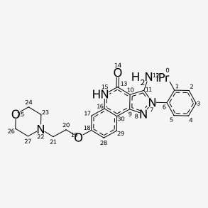 CC(C)c1ccccc1-n1nc2c(c1N)c(=O)[nH]c1cc(OCCN3CCOCC3)ccc12